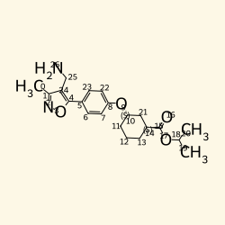 Cc1noc(-c2ccc(O[C@H]3CCC[C@H](C(=O)OC(C)C)C3)cc2)c1CN